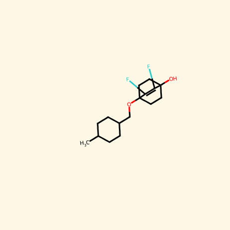 CC1CCC(COC23CCC(O)(CC2)C(F)=C3F)CC1